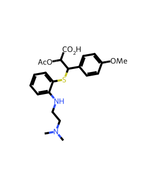 COc1ccc(C(Sc2ccccc2NCCN(C)C)C(OC(C)=O)C(=O)O)cc1